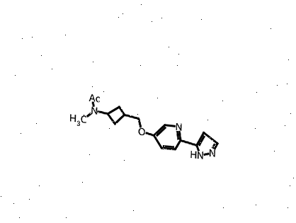 CC(=O)N(C)C1CC(COc2ccc(-c3ccn[nH]3)nc2)C1